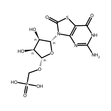 Nc1nc2c(sc(=O)n2[C@@H]2O[C@H](OCP(=O)(O)O)[C@@H](O)[C@H]2O)c(=O)[nH]1